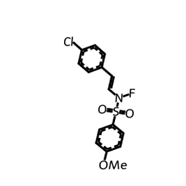 COc1ccc(S(=O)(=O)N(F)C=Cc2ccc(Cl)cc2)cc1